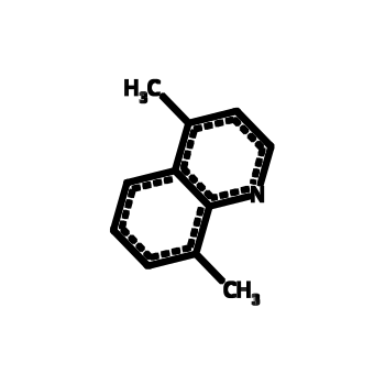 Cc1ccnc2c(C)cccc12